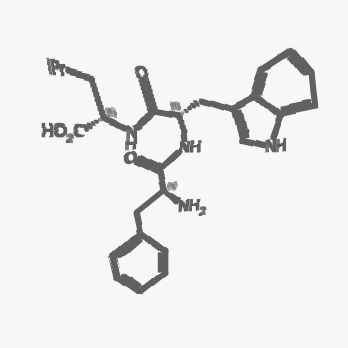 CC(C)C[C@H](NC(=O)[C@H](Cc1c[nH]c2ccccc12)NC(=O)[C@@H](N)Cc1ccccc1)C(=O)O